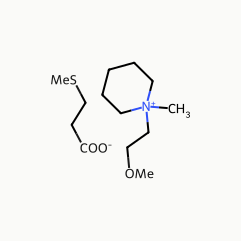 COCC[N+]1(C)CCCCC1.CSCCC(=O)[O-]